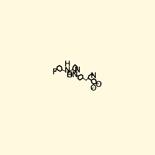 COc1cc2nccc(Cc3ccc(Nc4ncccc4C(=O)NCc4cccc(F)c4)cc3)c2cc1OC